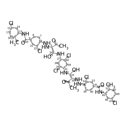 CC(=O)/C(NNc1ccc(C(=O)Nc2cc(Cl)ccc2C)cc1Cl)=C(/O)Nc1cc(Cl)c(N/C(O)=C(/NNc2ccc(C(=O)Nc3cc(Cl)ccc3C)cc2Cl)C(C)=O)cc1Cl